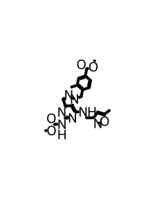 COC(=O)Nc1nc(NCc2cc(C)on2)c2c(cnn2Cc2ccc(C(=O)OC)cc2C)n1